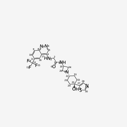 O=C(CNc1cnnc2ccc(C(F)(F)F)cc12)NC1CN([C@H]2CC[C@@](O)(c3cncs3)CC2)C1